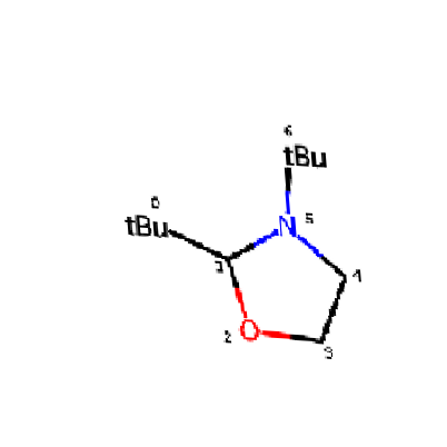 CC(C)(C)C1OCCN1C(C)(C)C